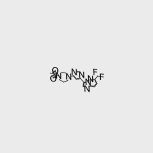 CS(=O)(=O)N1CCCN(c2cc(-c3cnc4ccc(C(F)F)nn34)ncn2)CC1